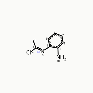 C/C(Cl)=N\c1ccccc1N